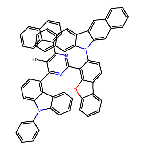 CCc1c(-c2cccc3ccccc23)nc(-c2c(-n3c4cc5ccccc5cc4c4cc5ccccc5cc43)ccc3c2oc2ccccc23)nc1-c1cccc2c1c1ccccc1n2-c1ccccc1